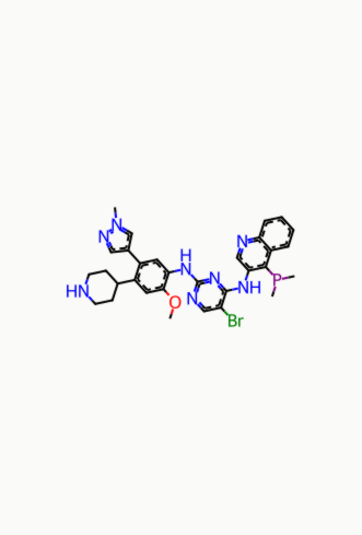 COc1cc(C2CCNCC2)c(-c2cnn(C)c2)cc1Nc1ncc(Br)c(Nc2cnc3ccccc3c2P(C)C)n1